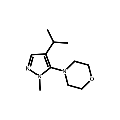 CC(C)c1cnn(C)c1N1CCOCC1